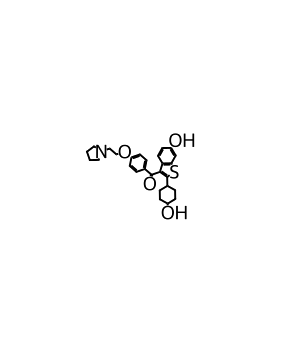 O=C(c1ccc(OCCN2CCCC2)cc1)c1c(C2CCC(O)CC2)sc2cc(O)ccc12